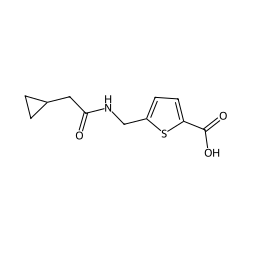 O=C(CC1CC1)NCc1ccc(C(=O)O)s1